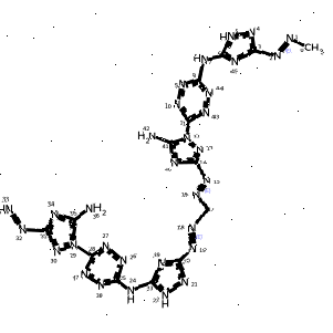 C/N=N/c1n[nH]c(Nc2nnc(-n3nc(/N=N/C/N=N/c4n[nH]c(Nc5nnc(-n6nc(N=N)nc6N)nn5)n4)nc3N)nn2)n1